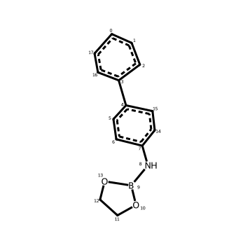 c1ccc(-c2ccc(NB3OCCO3)cc2)cc1